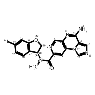 CN(C(=O)c1cc2c(cn1)nc(N)c1cncn12)[C@@H]1COc2cc(I)ccc21